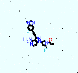 C=CC(=O)N1CC(n2nc(C#Cc3cc4ncn(C)c4cc3F)c3c(N)nccc32)C[C@@H]1CF